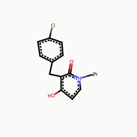 CC(C)n1ccc(O)c(Cc2ccc(Cl)cc2)c1=O